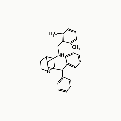 Cc1cccc(C)c1CNC1C2CCN(CC2)C1C(c1ccccc1)c1ccccc1